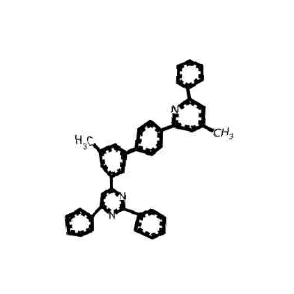 Cc1cc(-c2ccc(-c3cc(C)cc(-c4ccccc4)n3)cc2)cc(-c2cc(-c3ccccc3)nc(-c3ccccc3)n2)c1